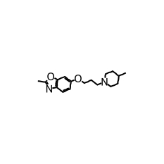 Cc1nc2ccc(OCCCN3CCC(C)CC3)cc2o1